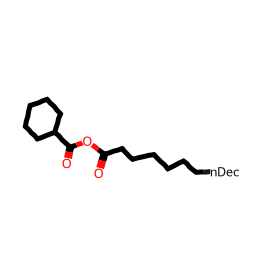 CCCCCCCCCCCCCCCCC(=O)OC(=O)C1CCCCC1